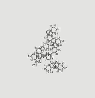 C=Cc1nc2n(-c3cc(-n4c5ccccc5n5c6ccccc6nc45)nc(-c4cccc([Si](c5ccccc5)(c5ccccc5)c5ccc6oc7ccccc7c6c5)c4)n3)c3ccccc3n2c1/C=C\C